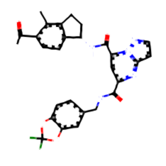 CC(=O)c1ccc2c(c1C)CC[C@@H]2NC(=O)c1cc(C(=O)NCc2ccc3c(c2)OC(F)(F)O3)nc2ccnn12